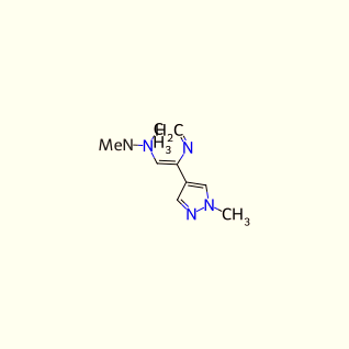 C=N/C(=C\N(C)NC)c1cnn(C)c1